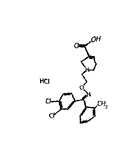 Cc1ccccc1C(=NOCCN1CCC=C(C(=O)O)C1)c1ccc(Cl)c(Cl)c1.Cl